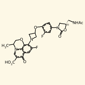 CC(=O)NC[C@H]1CN(c2ccc(OC3CN(c4c(F)cc5c(=O)c(C(=O)O)cn6c5c4OCC6C)C3)c(F)c2)C(=O)O1